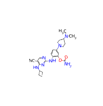 CN(C)C1CCN(c2ccc(Nc3ncc(C#N)c(NC4CCC4)n3)c(OC(N)=O)c2)CC1